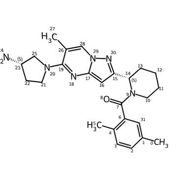 Cc1ccc(C)c(C(=O)N2CCCC[C@H]2c2cc3nc(N4CC[C@H](N)C4)c(C)cn3n2)c1